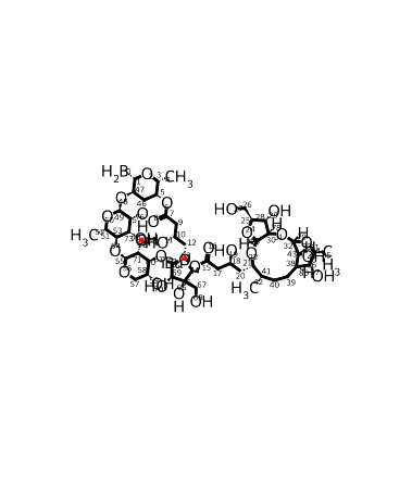 B[C@@H]1O[C@H](C)[C@H](OC(=O)C[C@@H](O)C[C@H](OC(=O)C[C@@H](O)C[C@@H]2O[C@@H]3O[C@@H](CO)[C@H](O)[C@H]3O[C@@H]3O[C@@H](C)[C@H](O)[C@@H](CC[C@@H]2C)[C@H]3O)[C@@H](C)CC)C[C@H]1O[C@@H]1O[C@@H](C)[C@H](O[C@@H]2OC[C@@H](O)[C@H](O[C@@H]3OC[C@](O)(CO)[C@H]3O)[C@H]2O)[C@@H](O)[C@H]1O